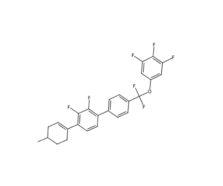 CC1CC=C(c2ccc(-c3ccc(C(F)(F)Oc4cc(F)c(F)c(F)c4)cc3)c(F)c2F)CC1